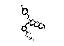 COC(=O)c1cccc(Cn2cc(Cc3cncnc3)c(=O)nc2SCc2ccc(F)cc2)c1